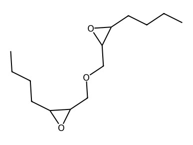 CCCCC1OC1COCC1OC1CCCC